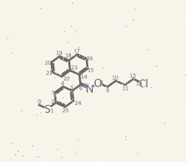 CSc1ccc(/C(=N/OCCCCCl)c2cccc3ccccc23)cc1